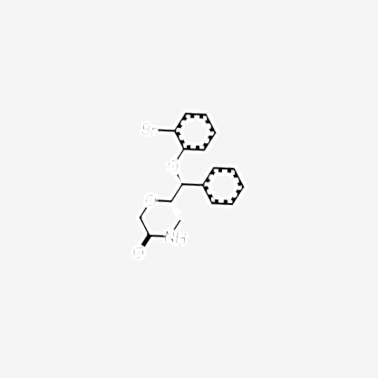 O=C1CO[C@H]([C@@H](Oc2ccccc2Br)c2ccccc2)CN1